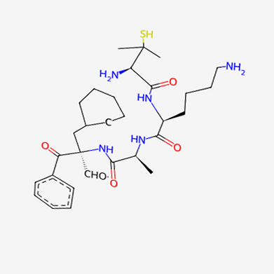 C[C@H](NC(=O)[C@H](CCCCN)NC(=O)[C@@H](N)C(C)(C)S)C(=O)N[C@]([C]=O)(CC1CCCCC1)C(=O)c1ccccc1